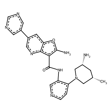 C[C@H]1C[C@@H](N)CN(c2ccncc2NC(=O)c2c(N)oc3cc(-c4cncnc4)cnc23)C1